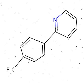 FC(F)(F)c1ccc(-c2[c]cccn2)cc1